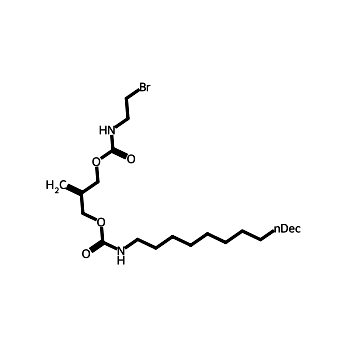 C=C(COC(=O)NCCBr)COC(=O)NCCCCCCCCCCCCCCCCCC